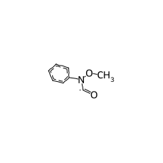 CON([C]=O)c1ccccc1